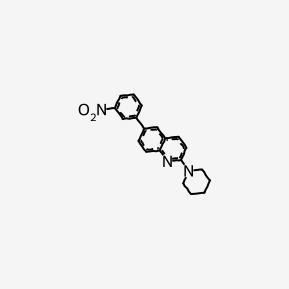 O=[N+]([O-])c1cccc(-c2ccc3nc(N4CCCCC4)ccc3c2)c1